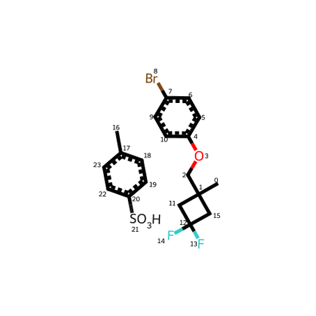 CC1(COc2ccc(Br)cc2)CC(F)(F)C1.Cc1ccc(S(=O)(=O)O)cc1